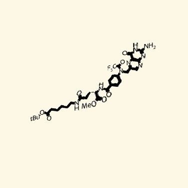 COC(=O)[C@H](CCC(=O)NCCCCCC(=O)OC(C)(C)C)NC(=O)c1ccc(N(Cc2cnc3nc(N)[nH]c(=O)c3n2)C(=O)C(F)(F)F)cc1